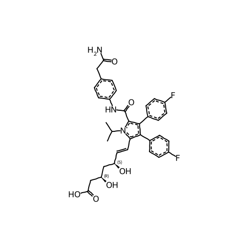 CC(C)n1c(C=C[C@@H](O)C[C@@H](O)CC(=O)O)c(-c2ccc(F)cc2)c(-c2ccc(F)cc2)c1C(=O)Nc1ccc(CC(N)=O)cc1